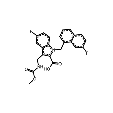 COC(=O)NCc1c(C(=O)O)n(Cc2cccc3ccc(F)cc23)c2ccc(F)cc12